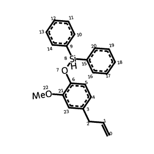 C=CCc1ccc(O[SiH](c2ccccc2)c2ccccc2)c(OC)c1